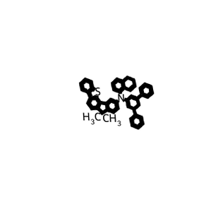 CC1(C)c2ccc(N(C3=CC(c4ccccc4)CC(c4ccccc4)=C3)c3cccc4c3C=CCC4)cc2-c2c1ccc1c2sc2ccccc21